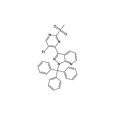 CCc1cnc(S(C)(=O)=O)nc1-c1nn(C(c2ccccc2)(c2ccccc2)c2ccccc2)c2ncccc12